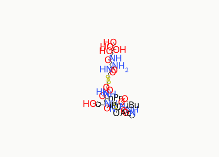 CCCC(=O)OCN(C(=O)[C@@H](NC(=O)[C@H]1CCCCN1C)C(C)CC)[C@H](C[C@@H](OC(C)=O)c1nc(C(=O)N[C@@H](Cc2ccc(O)cc2)C[C@H](C)C(=O)NNC(=O)OCCSSCCC(=O)N[C@@H](CCC(=O)NCC[C@@H](O)C(O)[C@H](O)CO)C(N)=O)cs1)C(C)C